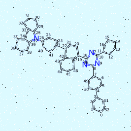 c1ccc(-c2ccc(-c3nc(-c4ccccc4)nc(-c4ccc(-c5ccc(-n6c7ccccc7c7ccccc76)cc5)c5ccccc45)n3)cc2)cc1